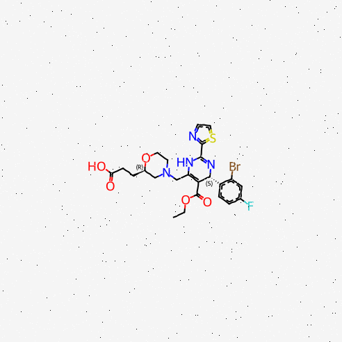 CCOC(=O)C1=C(CN2CCO[C@H](CCC(=O)O)C2)NC(c2nccs2)=N[C@@H]1c1ccc(F)cc1Br